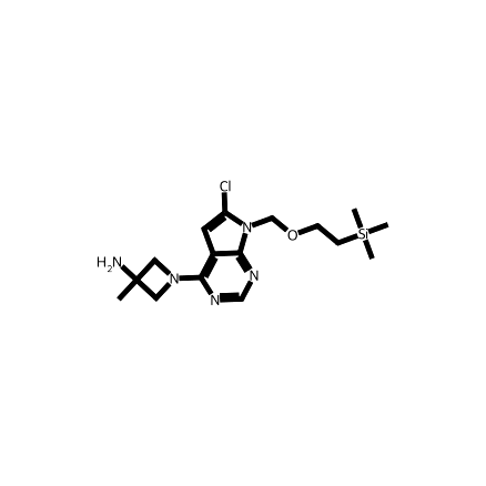 CC1(N)CN(c2ncnc3c2cc(Cl)n3COCC[Si](C)(C)C)C1